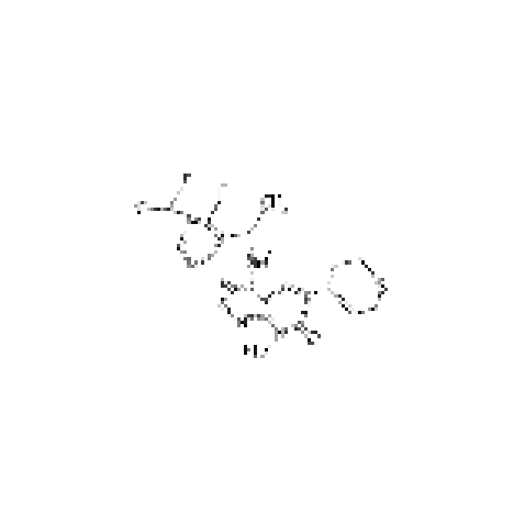 CC(Nc1ncnc2c1cc(C1=CCSCC1)c(=O)n2C)c1cccc(C(F)F)c1F